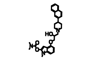 CN(C)C(=O)Oc1cc2c(OCC(O)CN3CCC(c4ccc5ccccc5c4)CC3)cccc2n1C